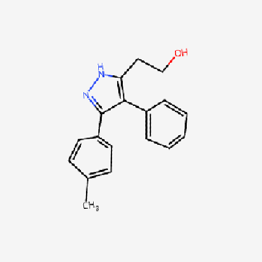 Cc1ccc(-c2n[nH]c(CCO)c2-c2ccccc2)cc1